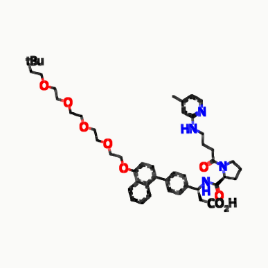 Cc1ccnc(NCCCC(=O)N2CCC[C@H]2C(=O)N[C@@H](CC(=O)O)c2ccc(-c3ccc(OCCOCCOCCOCCOCCC(C)(C)C)c4ccccc34)cc2)c1